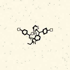 CCc1nc2ccc(C(c3ccc(Cl)cc3)c3nccs3)cc2n1CC(O)c1ccc(Cl)cc1